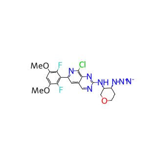 COc1cc(OC)c(F)c(-c2cc3cnc(N[C@@H]4COCC[C@@H]4N=[N+]=[N-])nc3c(Cl)n2)c1F